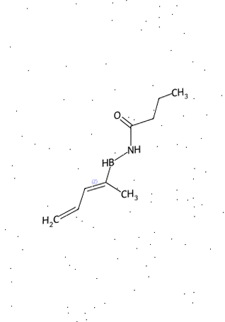 C=C/C=C(\C)BNC(=O)CCC